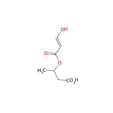 CC(CC(=O)O)OC(=O)C=CO